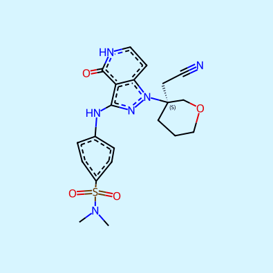 CN(C)S(=O)(=O)c1ccc(Nc2nn([C@]3(CC#N)CCCOC3)c3cc[nH]c(=O)c23)cc1